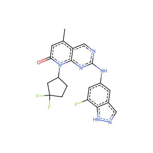 Cc1cc(=O)n(C2CCC(F)(F)C2)c2nc(Nc3cc(F)c4[nH]ncc4c3)ncc12